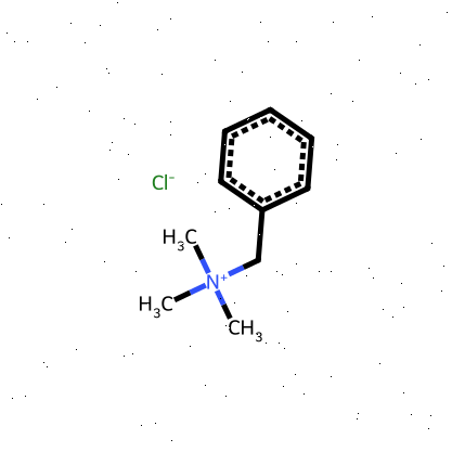 C[N+](C)(C)Cc1ccccc1.[Cl-]